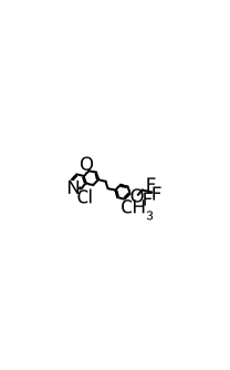 Cc1cc(CCC2=CC(=O)c3ccnc(Cl)c3C2)ccc1OCC(F)(F)F